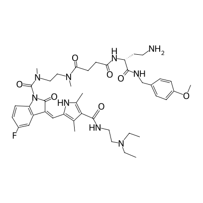 CCN(CC)CCNC(=O)c1c(C)[nH]c(/C=C2\C(=O)N(C(=O)N(C)CCN(C)C(=O)CCC(=O)N[C@H](CCN)C(=O)NCc3ccc(OC)cc3)c3ccc(F)cc32)c1C